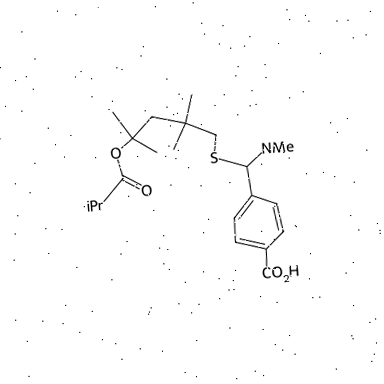 CNC(SCC(C)(C)CC(C)(C)OC(=O)C(C)C)c1ccc(C(=O)O)cc1